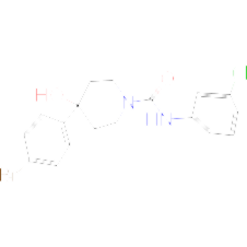 O=C(Nc1cccc(Cl)c1)N1CCC(O)(c2ccc(Br)cc2)CC1